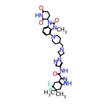 Cn1c(=O)n(C2CCC(=O)NC2=O)c2cccc(N3CCC(CN4CC(n5cc(NC(=O)c6n[nH]c7c6CC(F)(F)C(C)(C)C7)cn5)C4)CC3)c21